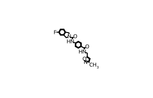 Cc1cc(CNC(=O)c2ccc(NC(=O)N3Cc4ccc(F)cc4C3)cc2)on1